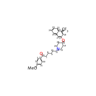 COc1ccc(C(=O)CCCCCN2CCC(Oc3cc(C(F)(F)F)c4ccccc4c3)CC2)cc1